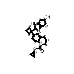 N#Cc1cnc2nc(C3(c4ccc5c(c4)CCCN5C(=O)OC4CC4)CCC3)[nH]c2c1